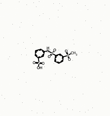 CS(=O)(=O)c1cccc(S(=O)(=O)Nc2cccc(S(=O)(=O)O)c2)c1